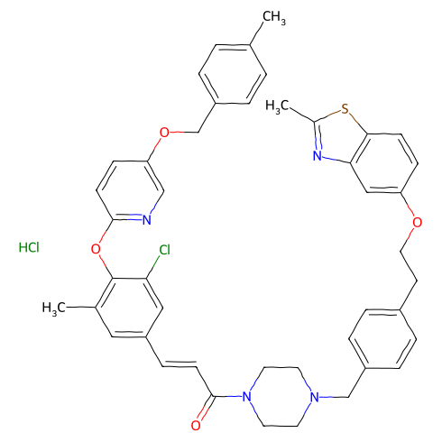 Cc1ccc(COc2ccc(Oc3c(C)cc(C=CC(=O)N4CCN(Cc5ccc(CCOc6ccc7sc(C)nc7c6)cc5)CC4)cc3Cl)nc2)cc1.Cl